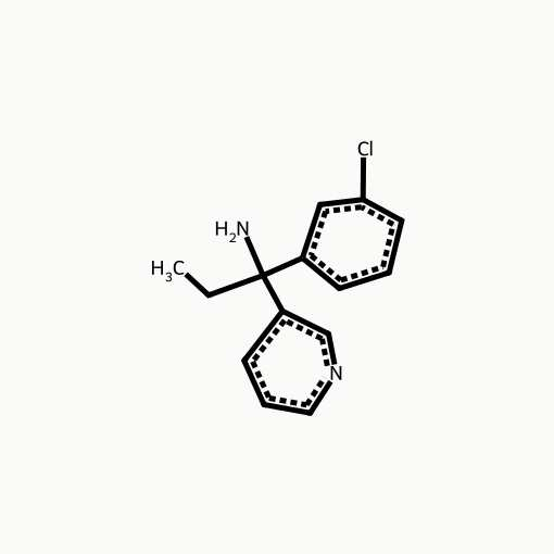 CCC(N)(c1cccnc1)c1cccc(Cl)c1